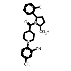 N#Cc1cc(C(F)(F)F)ccc1N1CCC(C(=O)N2C(c3ccccc3Cl)CC[C@H]2C(=O)O)CC1